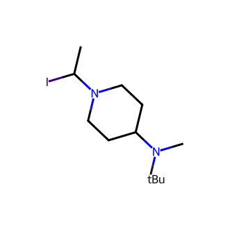 CC(I)N1CCC(N(C)C(C)(C)C)CC1